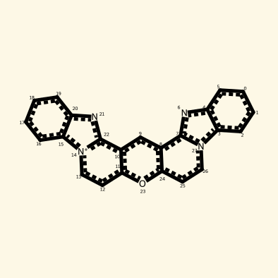 c1ccc2c(c1)nc1c3cc4c(cc[n+]5c6ccccc6nc45)oc3ccn21